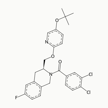 CC(C)(C)Oc1ccc(OC[C@@H]2Cc3cc(F)ccc3CN2C(=O)c2ccc(Cl)c(Cl)c2)nc1